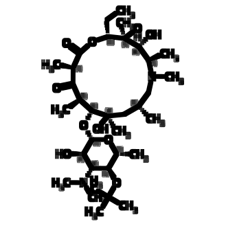 CC[C@H]1OC(=O)[C@H](C)C(=O)[C@H](C)[C@@H](O[C@@H]2O[C@H](C)[C@@H](OC(C)(C)C)[C@H](N(C)C)[C@H]2O)[C@](C)(O)C[C@@H](C)CN(C)[C@H](C)[C@@H](O)[C@]1(C)O